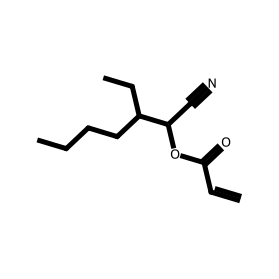 C=CC(=O)OC(C#N)C(CC)CCCC